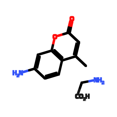 Cc1cc(=O)oc2cc(N)ccc12.NCC(=O)O